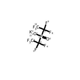 O=P([O-])(C(F)(F)C(F)(F)F)C(F)(F)C(F)(F)F.[K+]